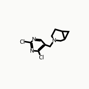 Clc1ncc(CN2CCC3CC3C2)c(Cl)n1